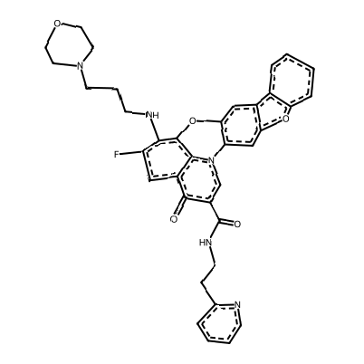 O=C(NCCc1ccccn1)c1cn2c3c(c(NCCCN4CCOCC4)c(F)cc3c1=O)Oc1cc3c(cc1-2)oc1ccccc13